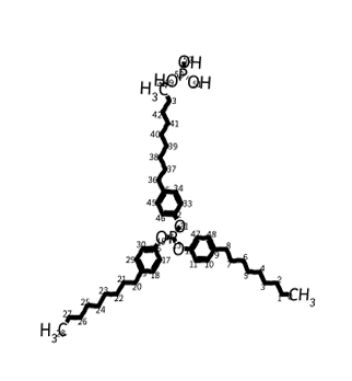 CCCCCCCCCc1ccc(OP(Oc2ccc(CCCCCCCCC)cc2)Oc2ccc(CCCCCCCCC)cc2)cc1.OP(O)O